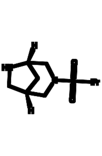 CC(C)S(=O)(=O)N1C[C@@H]2CN[C@@H](C2)C1